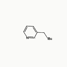 CCC(C)Cc1[c]nccc1